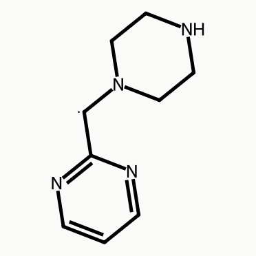 [CH](c1ncccn1)N1CCNCC1